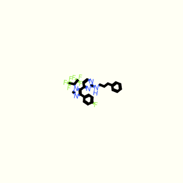 Fc1ccc(-c2ncn(C(C(F)(F)F)C(F)(F)F)c2-c2ccnc(NCCCc3ccccc3)n2)cc1